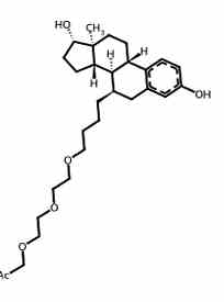 CC(=O)COCCOCCOCCCC[C@@H]1Cc2cc(O)ccc2[C@H]2CC[C@]3(C)[C@@H](O)CC[C@H]3[C@H]12